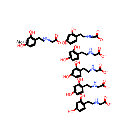 O=C([O-])CNCCc1ccc(O)cc1O.O=C([O-])CNCCc1ccc(O)cc1O.O=C([O-])CNCCc1ccc(O)cc1O.O=C([O-])CNCCc1ccc(O)cc1O.O=C([O-])CNCCc1ccc(O)cc1O.O=C([O-])CNCCc1ccc(O)cc1O.[Mo+6]